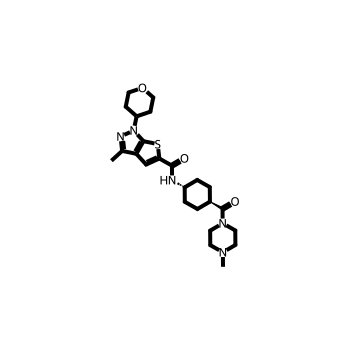 Cc1nn(C2CCOCC2)c2sc(C(=O)N[C@H]3CC[C@H](C(=O)N4CCN(C)CC4)CC3)cc12